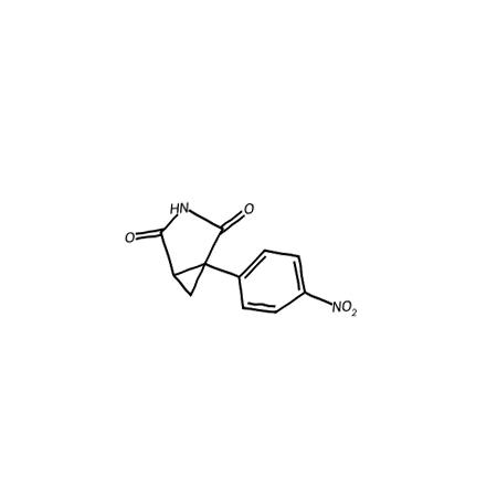 O=C1NC(=O)C2(c3ccc([N+](=O)[O-])cc3)CC12